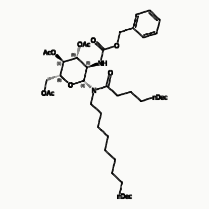 CCCCCCCCCCCCCCCCCCN(C(=O)CCCCCCCCCCCCC)[C@@H]1O[C@H](COC(C)=O)[C@@H](OC(C)=O)[C@H](OC(C)=O)[C@H]1NC(=O)OCc1ccccc1